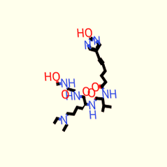 CCN(CC)CCCC[C@H](NC(=O)[C@@H](NC(=O)CCCC#Cc1cnc(O)nc1)C(C)C)C(=O)NCC(=O)NCO